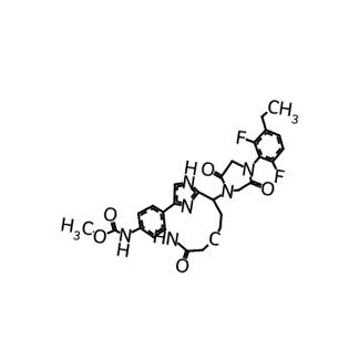 CCc1ccc(F)c(N2CC(=O)N(C3CCCCC(=O)Nc4cc(NC(=O)OC)ccc4-c4c[nH]c3n4)CC2=O)c1F